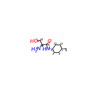 C[C@H]1CC[C@H](NC(=O)[C@@H](N)CO)CC1